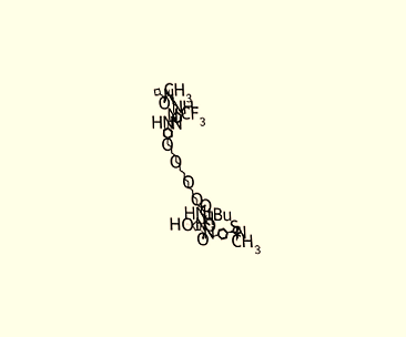 Cc1ncsc1-c1ccc(CNC(=O)[C@H]2C[C@H](O)CN2C(=O)[C@H](NC(=O)COCCCOCCCCOCCCOc2ccc(Nc3ncc(C(F)(F)F)c(NCCN(C)C(=O)C4CCC4)n3)cc2)C(C)(C)C)cc1